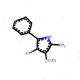 CCOC(=O)c1c(C)[nH]c(-c2ccccc2)c1Cl